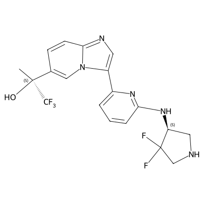 C[C@](O)(c1ccc2ncc(-c3cccc(N[C@H]4CNCC4(F)F)n3)n2c1)C(F)(F)F